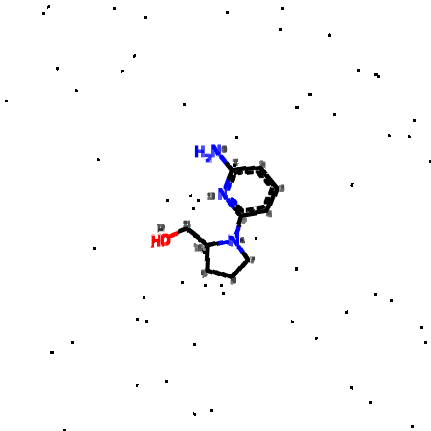 Nc1cccc(N2CCCC2CO)n1